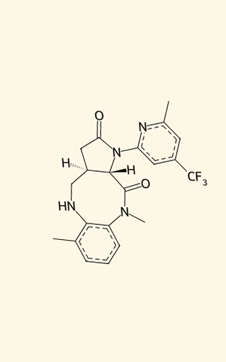 Cc1cc(C(F)(F)F)cc(N2C(=O)C[C@@H]3CNc4c(C)cccc4N(C)C(=O)[C@H]32)n1